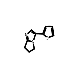 [c]1ccc(-c2cnc3n2CCC3)s1